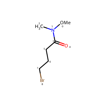 CON(C)C(=O)CCCBr